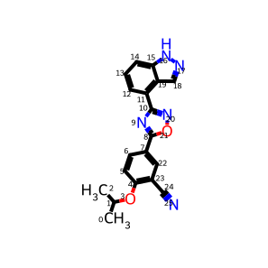 CC(C)Oc1ccc(-c2nc(-c3cccc4[nH]ncc34)no2)cc1C#N